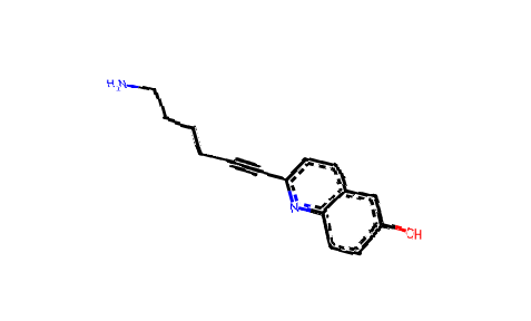 NCCCCC#Cc1ccc2cc(O)ccc2n1